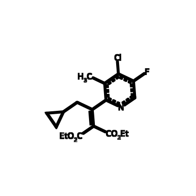 CCOC(=O)C(C(=O)OCC)=C(CC1CC1)c1ncc(F)c(Cl)c1C